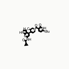 CC1CN(C(=O)c2ccc(C(C)(C)C)[nH]c2=O)CC=C1c1cc(NC(=O)C2CC2)nc2[nH]ccc12